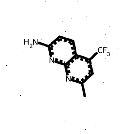 Cc1cc(C(F)(F)F)c2ccc(N)nc2n1